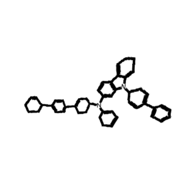 C1=CCCC(N(c2ccc3c4c(n(C5C=CC(c6ccccc6)=CC5)c3c2)=CCCC=4)C2CC=C(c3ccc(C4C=CCCC4)cc3)CC2)=C1